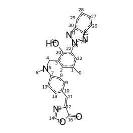 Cc1cc(CN(C)c2ccc(C=C3N=COC3=O)cc2)c(O)c(-n2nc3ccccc3n2)c1